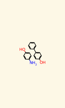 Nc1ccc(O)cc1.Oc1ccc(-c2ccccc2)cc1